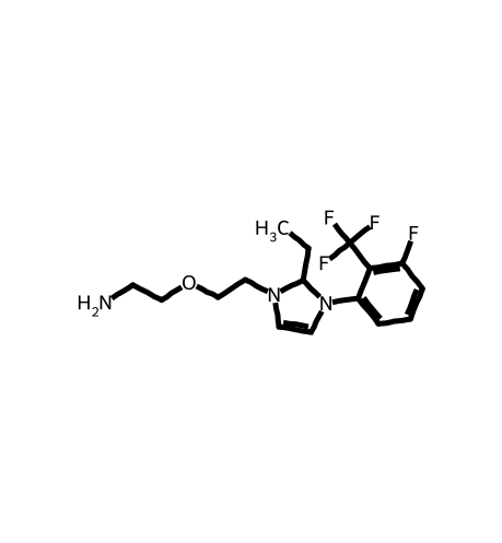 CCC1N(CCOCCN)C=CN1c1cccc(F)c1C(F)(F)F